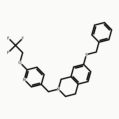 FC(F)(F)COc1ccc(CN2CCc3ccc(SCc4ccccc4)cc3C2)cn1